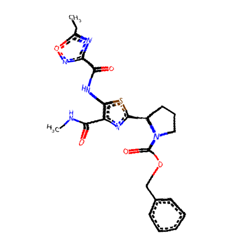 CNC(=O)c1nc([C@H]2CCCN2C(=O)OCc2ccccc2)sc1NC(=O)c1noc(C)n1